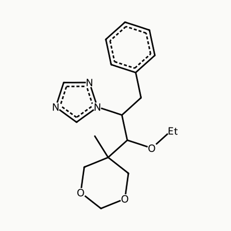 CCOC(C(Cc1ccccc1)n1cncn1)C1(C)COCOC1